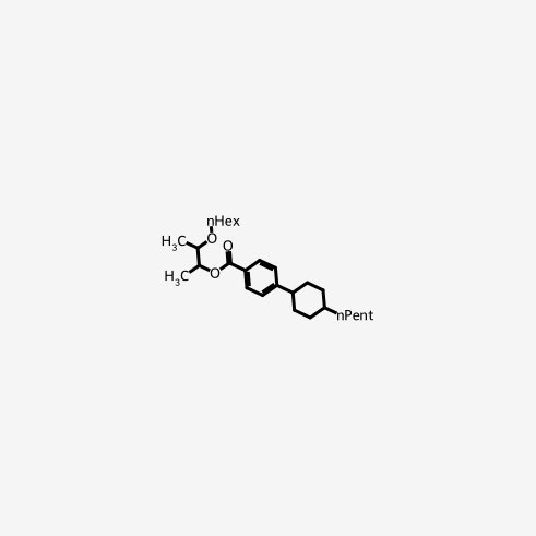 CCCCCCOC(C)C(C)OC(=O)c1ccc(C2CCC(CCCCC)CC2)cc1